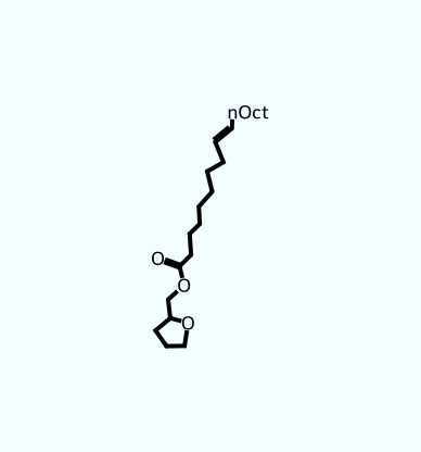 CCCCCCCCC=CCCCCCCCC(=O)OCC1CCCO1